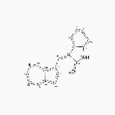 O=C1Nc2ccccc2C1=Cc1ccc2cccccc1-2